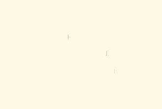 CCC1(C=O)CC2CC(C)CC(F)(C2)C1